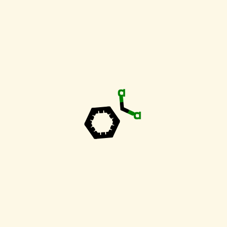 ClCCl.c1ccccc1